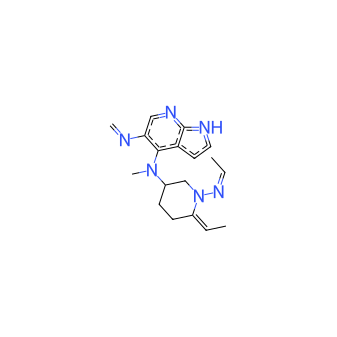 C=Nc1cnc2[nH]ccc2c1N(C)C1CC/C(=C/C)N(/N=C\C)C1